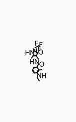 CCNc1cccc(C(=O)NCc2c(C)[nH]n(CC(F)(F)F)c2=O)c1C